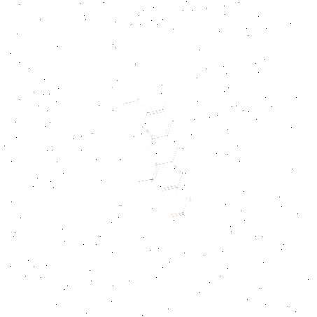 CCOC(=O)C(=O)Nc1cc(C)c(Oc2ccc(O)c(CNC(C)C)c2)c(C)c1